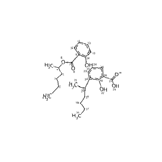 CCCCC(C)OC(=O)c1ccccc1O.CCCCC(C)c1cccc(C(=O)O)c1O